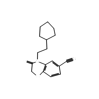 N#Cc1ccc2c(c1)N(CCC1CC[CH]CC1)C(=O)CO2